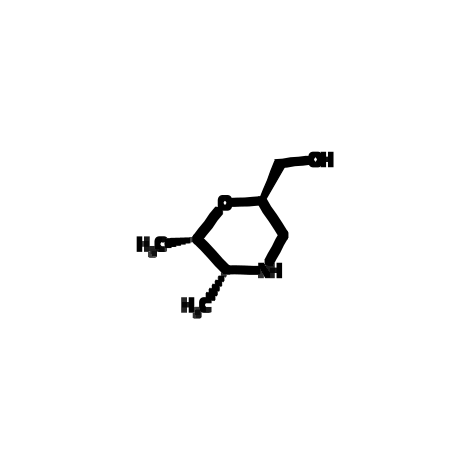 C[C@@H]1O[C@@H](CO)CN[C@@H]1C